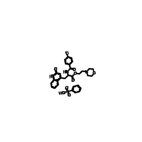 O=C(NC(Cc1cc(=O)[nH]c2ccccc12)C(=O)OCCN1CCOCC1)c1ccc(Cl)cc1.O=S(=O)(O)c1ccccc1